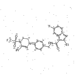 CCc1nc2ccc(F)cn2c1C(=O)NCc1ccc(N2CCN(S(=O)(=O)C(F)(F)F)C(C(C)C)=N2)cc1